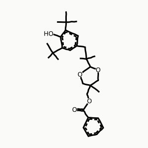 CC1(COC(=O)c2ccccc2)COC(C(C)(C)Cc2cc(C(C)(C)C)c(O)c(C(C)(C)C)c2)OC1